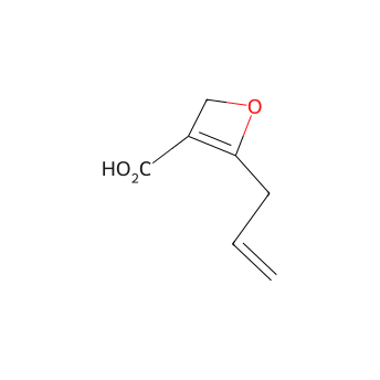 C=CCC1=C(C(=O)O)CO1